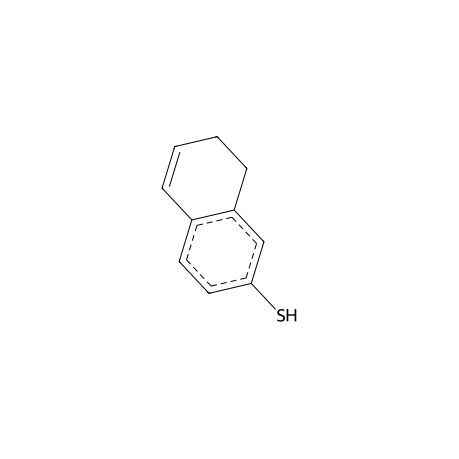 Sc1ccc2c(c1)CCC=C2